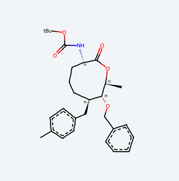 Cc1ccc(C[C@H]2CCC[C@H](NC(=O)OC(C)(C)C)C(=O)O[C@@H](C)[C@@H]2OCc2ccccc2)cc1